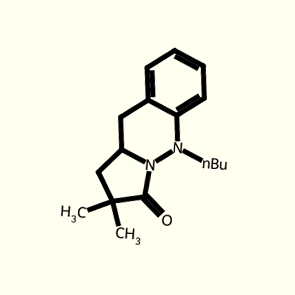 CCCCN1c2ccccc2CC2CC(C)(C)C(=O)N21